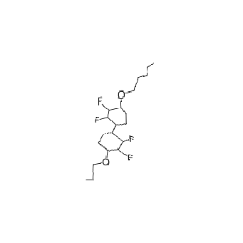 CCCCCOC1CCC(C2CCC(OCCC)C(F)C2F)C(F)C1F